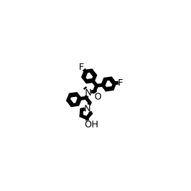 CN(C(=O)C(c1ccc(F)cc1)c1ccc(F)cc1)C(CN1CCC(O)C1)c1ccccc1